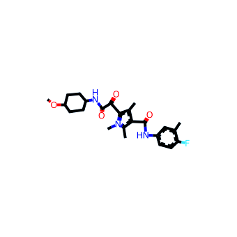 COC1CCC(NC(=O)C(=O)c2c(C)c(C(=O)Nc3ccc(F)c(C)c3)c(C)n2C)CC1